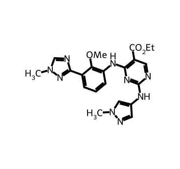 CCOC(=O)c1cnc(Nc2cnn(C)c2)nc1Nc1cccc(-c2ncn(C)n2)c1OC